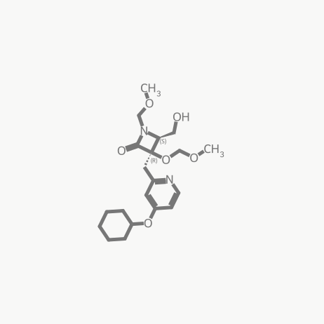 COCO[C@@]1(Cc2cc(OC3CCCCC3)ccn2)C(=O)N(COC)[C@H]1CO